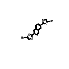 Brc1cnc(-c2ccc3cc(-c4ncc(Br)s4)ccc3c2)s1